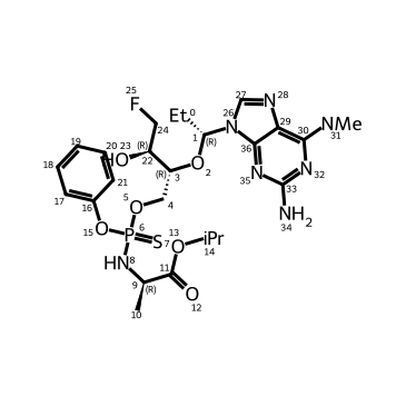 CC[C@@H](O[C@H](COP(=S)(N[C@H](C)C(=O)OC(C)C)Oc1ccccc1)[C@@H](O)CF)n1cnc2c(NC)nc(N)nc21